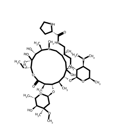 CC[C@H]1OC(=O)[C@H](C)[C@@H](O[C@H]2C[C@@](C)(OC)[C@@H](O)[C@H](C)O2)[C@H](C)[C@@H](O[C@@H]2O[C@H](C)C[C@H](N(C)C)[C@H]2OCCCNC(=O)[C@@H]2CCCN2)[C@](C)(O)C[C@@H](C)CN(C)[C@H](C)[C@@H](O)[C@]1(C)O